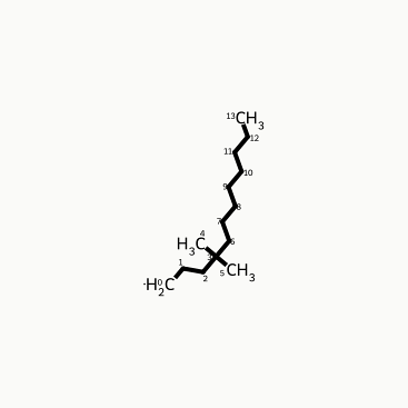 [CH2]CCC(C)(C)CCCCCCCC